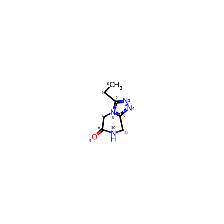 CCc1nnc2n1CC(=O)NC2